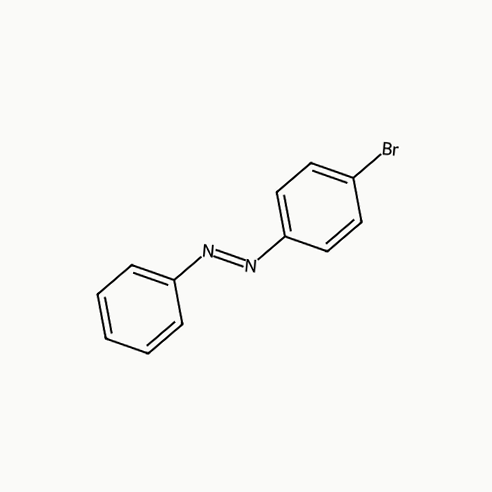 Brc1ccc(/N=N/c2ccccc2)cc1